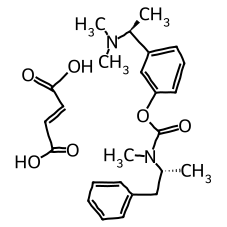 C[C@H](Cc1ccccc1)N(C)C(=O)Oc1cccc([C@H](C)N(C)C)c1.O=C(O)/C=C/C(=O)O